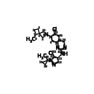 CC1CCC12CN(c1cc3nc(Nc4cnn(C5(C)CC5)c4Cl)ncc3cc1Cl)C2